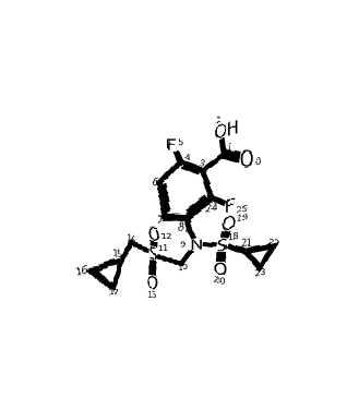 O=C(O)c1c(F)ccc(N(CS(=O)(=O)CC2CC2)S(=O)(=O)C2CC2)c1F